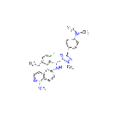 CCc1ccc(F)c(C(Nc2ccc3c(N)nccc3c2)c2nc(-c3ccc(N(C)C)cc3)nn2C)c1